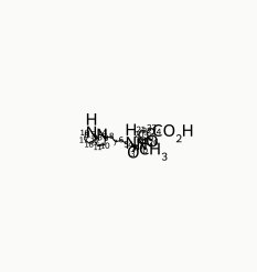 CN(C(=O)NCCCCc1ccc2c(n1)NCCC2)[C@H]1CCC(CC(=O)O)C1=O